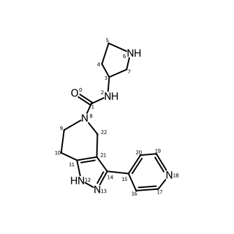 O=C(NC1CCNC1)N1CCc2[nH]nc(-c3ccncc3)c2C1